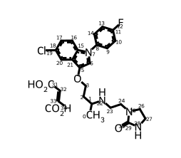 CC(CCOc1cn(-c2ccc(F)cc2)c2ccc(Cl)cc12)NCCN1CCNC1=O.O=C(O)C=CC(=O)O